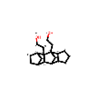 OCCC12CC(C3CCCC31)C1C3CCC(C3)C12CCO